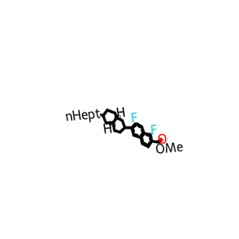 CCCCCCCC1CC[C@@H]2CC(c3cc4ccc(C(=O)OC)c(F)c4cc3F)CC[C@H]2C1